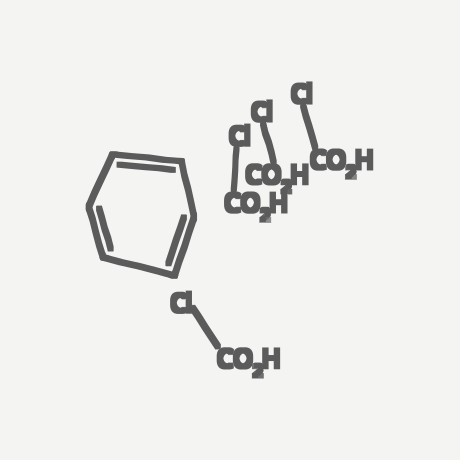 O=C(O)Cl.O=C(O)Cl.O=C(O)Cl.O=C(O)Cl.c1ccccc1